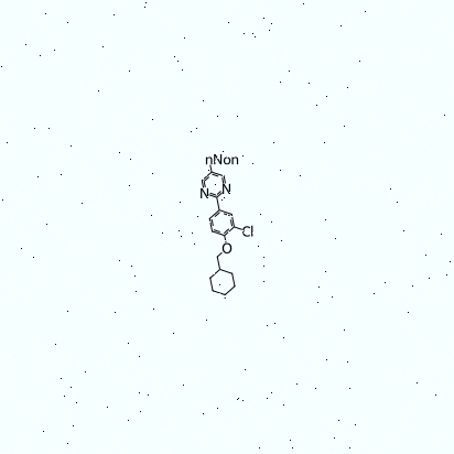 CCCCCCCCCc1cnc(-c2ccc(OCC3CC[CH]CC3)c(Cl)c2)nc1